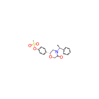 C[C@@H](c1ccccc1)N1C[C@@H](c2ccc(OS(C)(=O)=O)cc2)OCC1=O